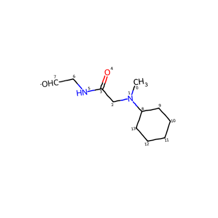 CN(CC(=O)NC[C]=O)C1CCCCC1